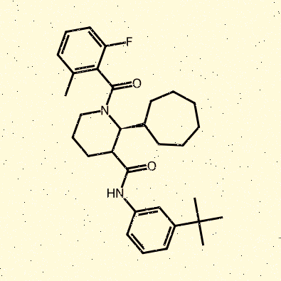 Cc1cccc(F)c1C(=O)N1CCCC(C(=O)Nc2cccc(C(C)(C)C)c2)[C@@H]1C1CCCCCC1